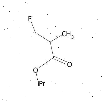 CC(C)OC(=O)C(C)CF